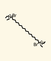 CC[N+](C)(CC)C(Br)CCCCCCCCCCCCCCCCC(Br)[N+](C)(CC)CC